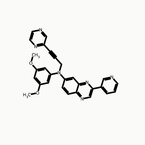 COc1cc(OC)cc(N(CC#Cc2cnccn2)c2ccc3ncc(-c4cccnc4)nc3c2)c1